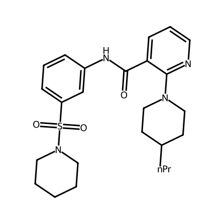 CCCC1CCN(c2ncccc2C(=O)Nc2cccc(S(=O)(=O)N3CCCCC3)c2)CC1